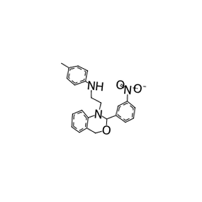 Cc1ccc(NCCN2c3ccccc3COC2c2cccc([N+](=O)[O-])c2)cc1